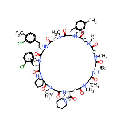 CC[C@H](C)[C@@H]1NC(=O)[C@H](C)N(C)C(=O)C[C@@H](C(=O)N2CCCCC2)N(C)C(=O)[C@H](C(C)C)N(C)C(=O)C2(CCCC2)NC(=O)[C@H](Cc2ccccc2Cl)N(C)C(=O)[C@H](CCc2ccc(C(F)(F)F)c(Cl)c2)NC(=O)CN(C)C(=O)[C@H](Cc2ccc(C)cc2)N(C)C(=O)CN(C)C(=O)CN(C)C1=O